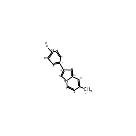 Cc1ccn2cc(-c3ccc(F)cc3)cc2c1